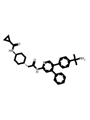 CC(C)(N)c1ccc(-c2cnc(NC(=O)C[C@H]3CC[C@H](NC(=O)C4CC4)CC3)cc2-c2ccccc2)cc1